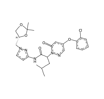 CC(C)CC(C(=O)Nc1ccn(C[C@@H]2COC(C)(C)O2)n1)n1ncc(Oc2ccccc2Cl)cc1=O